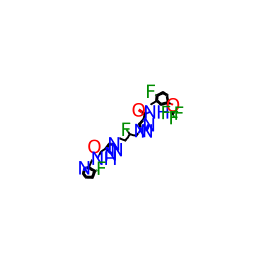 O=C(NCc1ncccc1F)c1cn(CCC(F)Cn2cc(C(=O)NCc3cc(OC(F)(F)F)ccc3F)nn2)nn1